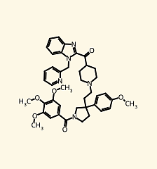 COc1ccc(C2(CCN3CCC(C(=O)c4nc5ccccc5n4Cc4ccccn4)CC3)CCN(C(=O)c3cc(OC)c(OC)c(OC)c3)C2)cc1